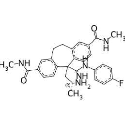 CNC(=O)c1ccc2c(c1)CCc1cc(C(=O)NC)ccc1C2(C[C@@H](C)N)C(=N)Nc1ccc(F)cc1